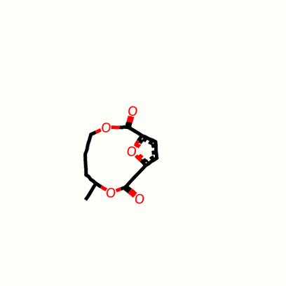 CC1CCCOC(=O)c2ccc(o2)C(=O)O1